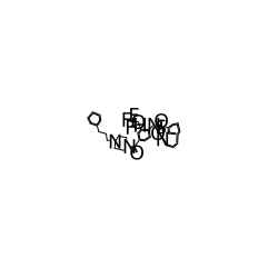 O=C(c1ccc(NS(=O)(=O)c2cccc3cccnc23)c(OC(F)(F)F)c1)N1CCN(CCCc2ccccc2)CC1